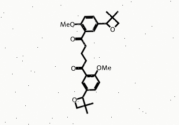 COc1ccc(C2OCC2(C)C)cc1C(=O)CCCC(=O)c1cc(C2OCC2(C)C)ccc1OC